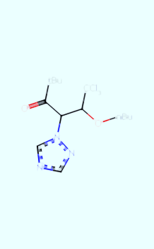 CCCCOC(C(C(=O)C(C)(C)C)n1cncn1)C(Cl)(Cl)Cl